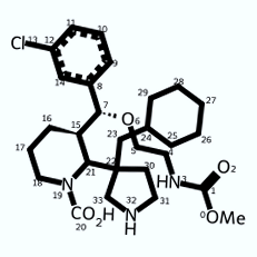 COC(=O)NCCO[C@@H](c1cccc(Cl)c1)[C@@H]1CCCN(C(=O)O)C1C1(CC2CCCCC2)CCNC1